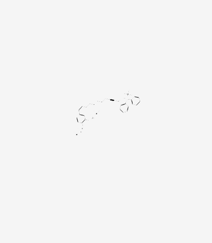 CC(C)(C)[Si](C)(C)Oc1ccc(/C=C\CCCCCCC#CCO[Si](c2ccccc2)(c2ccccc2)C(C)(C)C)cc1O[Si](C)(C)C(C)(C)C